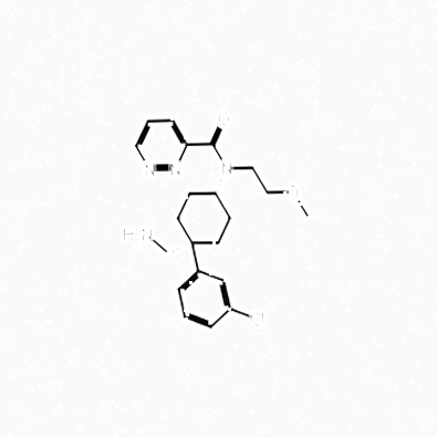 COCCN(C(=O)c1cccnn1)[C@H]1CC[C@](CN)(c2cccc(Cl)c2)CC1